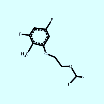 Cc1c(F)cc(F)cc1OCCOC(F)F